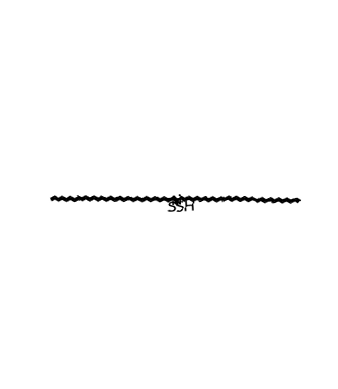 CCCCCCCCCCCCCCCCCCCCCCCCCCCCCCN(CCCCCCCCCCCCCCCCCCCCCCCCCCCCCC)C(=S)S